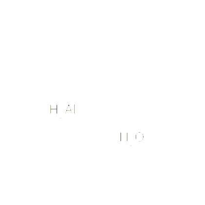 CC(C)(C)[CH2][AlH2].O